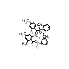 CCOP(=O)(C(=O)c1c(C)cc(C)cc1C)c1ccccc1.Cc1cc(C)c(C(=O)O[PH](=O)c2ccccc2)c(C)c1